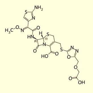 CON=C(C(=O)N[C@@H]1C(=O)N2C(C(=O)O)=C(CSc3nnc(COCC(=O)O)o3)CS[C@@H]12)c1csc(N)n1